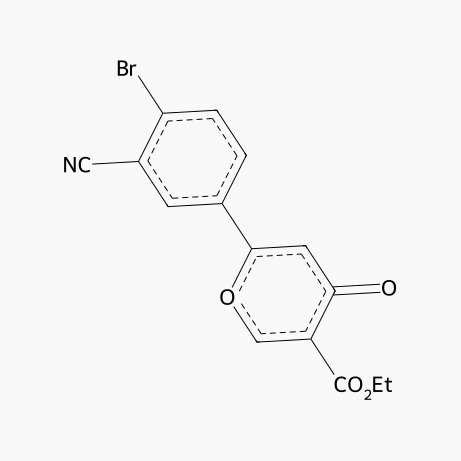 CCOC(=O)c1coc(-c2ccc(Br)c(C#N)c2)cc1=O